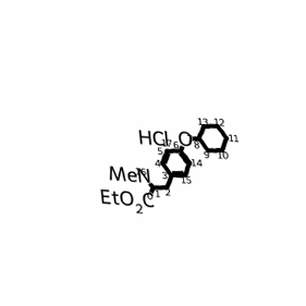 CCOC(=O)C(Cc1ccc(OC2CCCCC2)cc1)NC.Cl